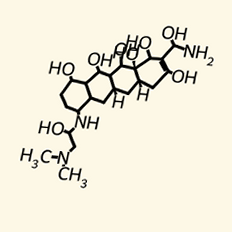 CN(C)CC(O)NC1CCC(O)C2C(O)C3C(O)[C@]4(O)C(O)C(C(N)O)=C(O)C[C@@H]4C[C@@H]3CC12